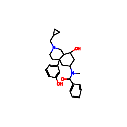 CN(C(=O)c1ccccc1)C1CC(O)C2CN(CC3CC3)CCC2(c2cccc(O)c2)C1